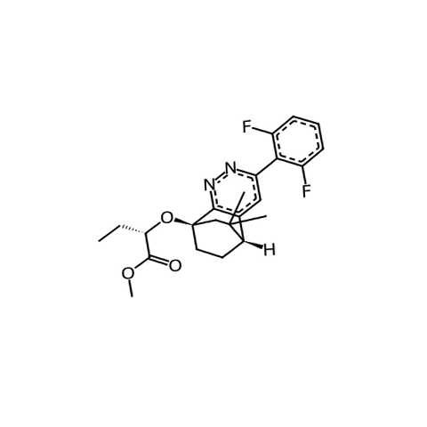 CC[C@H](O[C@@]12CC[C@@H](c3cc(-c4c(F)cccc4F)nnc31)C(C)(C)C2)C(=O)OC